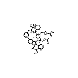 C=CC(=O)N1CC(CN2CC[C@H](C)[C@H]2C(=O)N[C@@H](Cc2cccc(-c3ccc4c(c3)c(CC(C)(C)COC(C)=O)c(-c3cccnc3[C@H](C)OC)n4CC)c2)C(=O)N2CCCCN2)C1